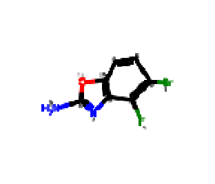 Nc1nc2c(F)c(Br)ccc2o1